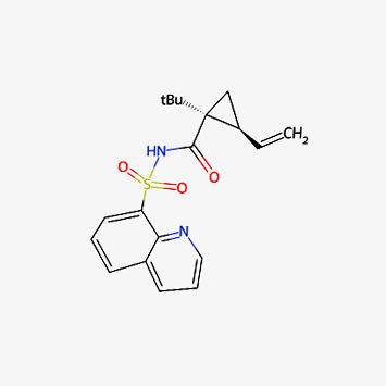 C=C[C@@H]1C[C@@]1(C(=O)NS(=O)(=O)c1cccc2cccnc12)C(C)(C)C